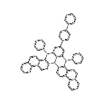 c1ccc(-c2ccc(-c3cc4c5c(c3)N(c3ccccc3)c3c(ccc6c3ccc3ccccc36)B5c3ccc5c(ccc6ccccc65)c3N4c3ccccc3)cc2)cc1